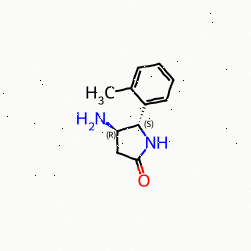 Cc1ccccc1[C@@H]1NC(=O)C[C@H]1N